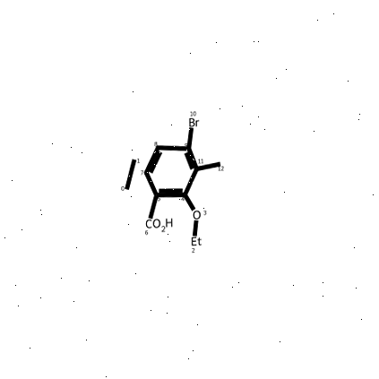 CC.CCOc1c(C(=O)O)ccc(Br)c1C